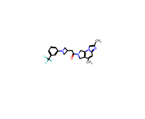 Cc1cn2c3c(c(C)cc2n1)CN(C(=O)CC1CN(c2cccc(C(F)(F)F)c2)C1)C3